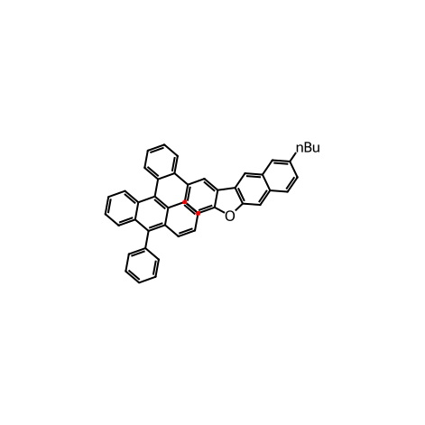 CCCCc1ccc2cc3oc4ccc(-c5ccccc5-c5c6ccccc6c(-c6ccccc6)c6ccccc56)cc4c3cc2c1